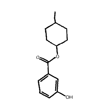 CC1CCC(OC(=O)c2cccc(O)c2)CC1